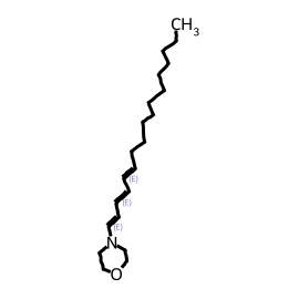 CCCCCCCCCCC/C=C/C=C/C=C/N1CCOCC1